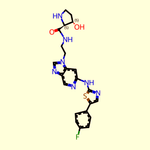 O=C(NCCn1cnc2cnc(Nc3ncc(-c4ccc(F)cc4)s3)cc21)[C@H]1NCC[C@@H]1O